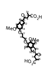 COc1cc2sc(C(=O)CC(C)C(=O)O)cc2cc1OCCCOc1c(F)c2c(c(F)c1OC)CN(C(=O)CC(C)C(=O)O)C2